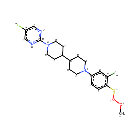 COOSc1ccc(N2CCC(C3CCN(c4ncc(F)cn4)CC3)CC2)cc1Cl